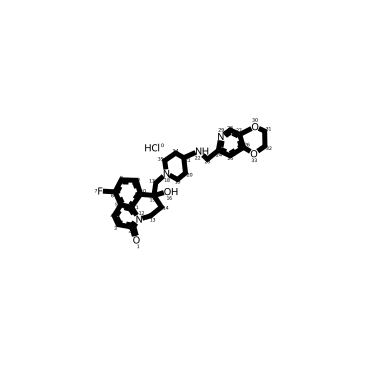 Cl.O=c1ccc2c(F)ccc3c2n1CCC3(O)CN1CCC(NCc2cc3c(cn2)OCCO3)CC1